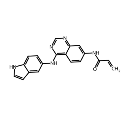 C=CC(=O)Nc1ccc2c(Nc3ccc4[nH]ccc4c3)ncnc2c1